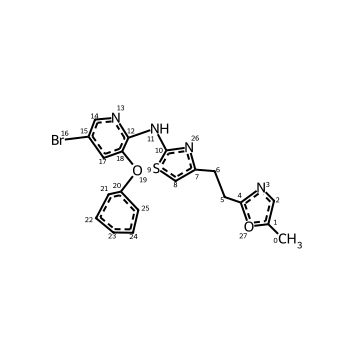 Cc1cnc(CCc2csc(Nc3ncc(Br)cc3Oc3ccccc3)n2)o1